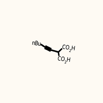 CCCCC#CC(C(=O)O)C(=O)O